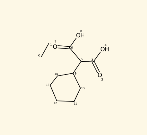 CC.O=C(O)C(C(=O)O)C1CCCCC1